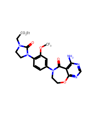 CCOC(=O)CN1CCN(c2ccc(N3CCOc4ncnc(N)c4C3=O)cc2OC(F)(F)F)C1=O